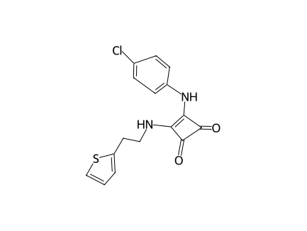 O=c1c(NCCc2cccs2)c(Nc2ccc(Cl)cc2)c1=O